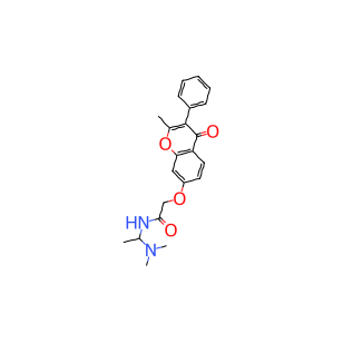 Cc1oc2cc(OCC(=O)NC(C)N(C)C)ccc2c(=O)c1-c1ccccc1